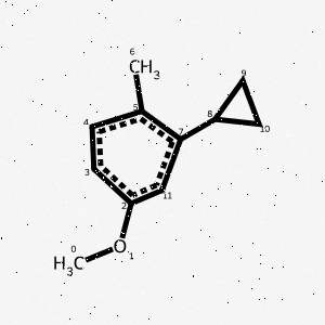 COc1ccc(C)c(C2CC2)c1